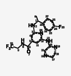 CC(Nc1cc(C(=O)NCC(F)(F)F)cc(Nc2cnccn2)n1)c1ccc(F)cc1